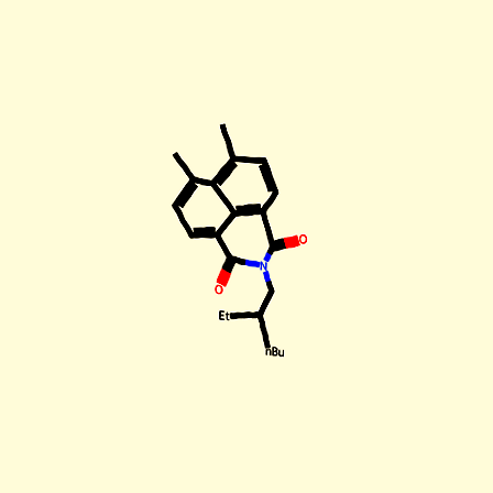 CCCCC(CC)CN1C(=O)c2ccc(C)c3c(C)ccc(c23)C1=O